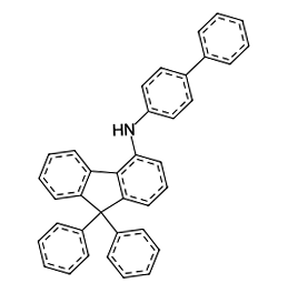 c1ccc(-c2ccc(Nc3cccc4c3-c3ccccc3C4(c3ccccc3)c3ccccc3)cc2)cc1